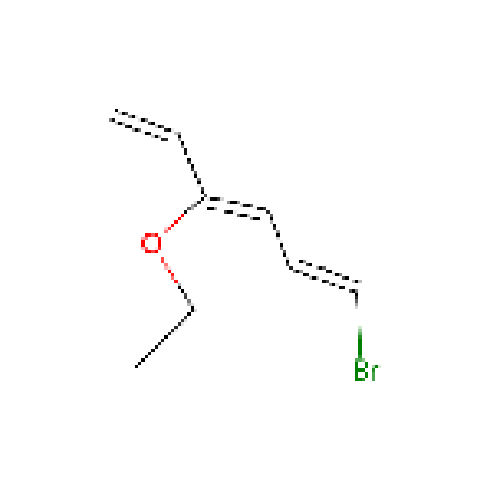 C=CC(=CC=CBr)OCC